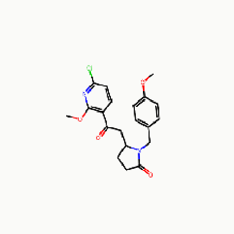 COc1ccc(CN2C(=O)CCC2CC(=O)c2ccc(Cl)nc2OC)cc1